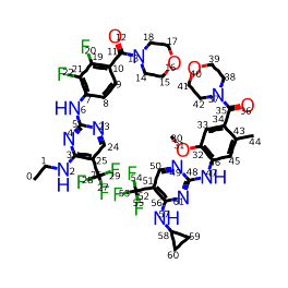 CCNc1nc(Nc2ccc(C(=O)N3CCOCC3)c(F)c2F)ncc1C(F)(F)F.COc1cc(C(=O)N2CCOCC2)c(C)cc1Nc1ncc(C(F)(F)F)c(NC2CC2)n1